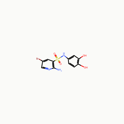 Nc1ncc(Br)cc1S(=O)(=O)Nc1ccc(O)c(O)c1